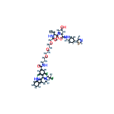 Cc1ncsc1-c1ccc(CNC(=O)[C@@H]2C[C@@H](O)CN2C(=O)[C@@H](NC(=O)COCCOCCOCCCNC(=O)c2cc(F)c([C@@H]3c4[nH]c5ccccc5c4C[C@@H](C)N3CC(C)(C)F)c(F)c2)C(C)(C)C)cc1